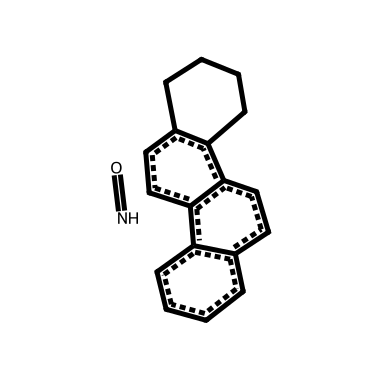 N=O.c1ccc2c(c1)ccc1c3c(ccc12)CCCC3